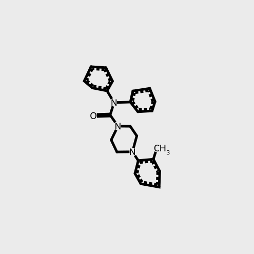 Cc1ccccc1N1CCN(C(=O)N(c2ccccc2)c2ccccc2)CC1